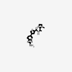 CC(NC(=O)c1cc(-c2ccc3nc(N)nn3c2)cs1)c1nccn1C